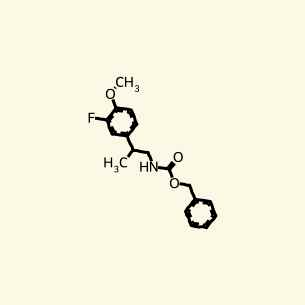 COc1ccc(C(C)CNC(=O)OCc2ccccc2)cc1F